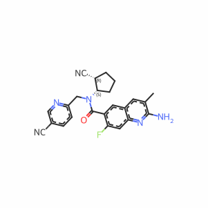 Cc1cc2cc(C(=O)N(Cc3ccc(C#N)cn3)[C@H]3CCC[C@H]3C#N)c(F)cc2nc1N